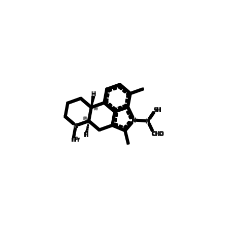 CCCN1CCC[C@@H]2c3ccc(C)c4c3c(c(C)n4N(S)C=O)C[C@H]21